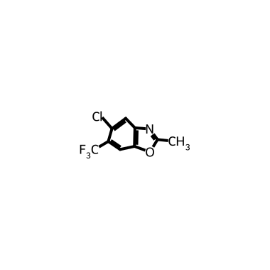 Cc1nc2cc(Cl)c(C(F)(F)F)cc2o1